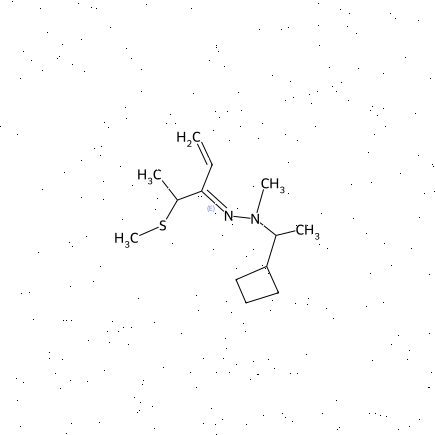 C=C/C(=N\N(C)C(C)C1CCC1)C(C)SC